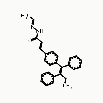 C/C=N/NC(=O)/C=C/c1ccc(/C(=C(/CC)c2ccccc2)c2ccccc2)cc1